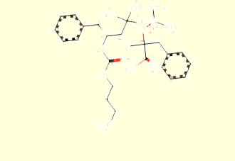 CCCCOC(=O)N[C@@H](Cc1ccccc1)[C@@H](CC(Cc1ccccc1)(O[SiH](C)C)C(=O)O)C(C)(C)C